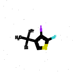 CCCC(C)(CC)c1csc(F)c1I